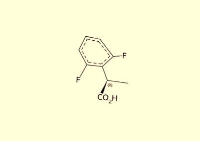 C[C@@H](C(=O)O)c1c(F)cccc1F